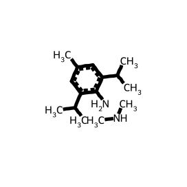 CNC.Cc1cc(C(C)C)c(N)c(C(C)C)c1